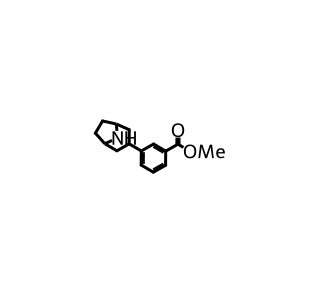 COC(=O)c1cccc(C2CC3CCC(C2)N3)c1